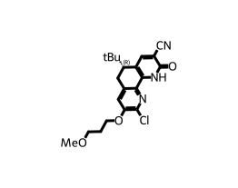 COCCCOc1cc2c(nc1Cl)-c1[nH]c(=O)c(C#N)cc1[C@@H](C(C)(C)C)C2